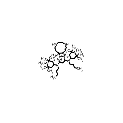 CCCCN(C1=CC(N(CCCC)C2CC(C)(C)N(C)C(C)(C)C2)=NN(C2(N)CCNCCNCCC2N)N1)C1CC(C)(C)N(C)C(C)(C)C1